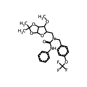 COC1C(CN(Cc2ccc(OC(F)(F)F)cc2)C(=O)Nc2ccccc2)OC2OC(C)(C)OC21